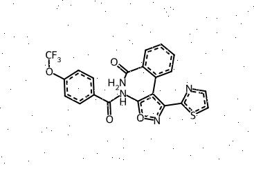 NC(=O)c1ccccc1-c1c(-c2nccs2)noc1NC(=O)c1ccc(OC(F)(F)F)cc1